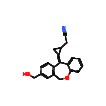 N#CCC1CC1=C1c2ccc(CO)cc2COc2ccccc21